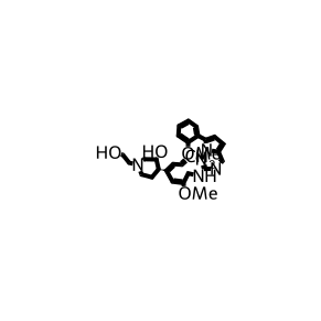 C=C/C=C(\C=C(/CNc1ncc2ccc(-c3ccccc3OC)n2n1)OC)[C@@H]1CCN(CCO)C[C@H]1O